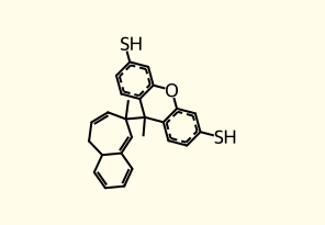 CC1(C2(C)c3ccc(S)cc3Oc3cc(S)ccc32)C=CCC2C=CC=CC2=C1